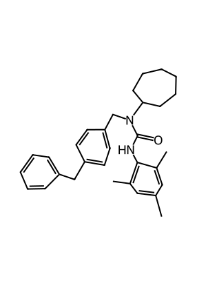 Cc1cc(C)c(NC(=O)N(Cc2ccc(Cc3ccccc3)cc2)C2CCCCCC2)c(C)c1